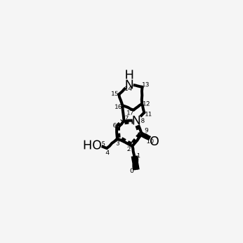 C#Cc1c(CO)cc2n(c1=O)CC1CNCC2C1